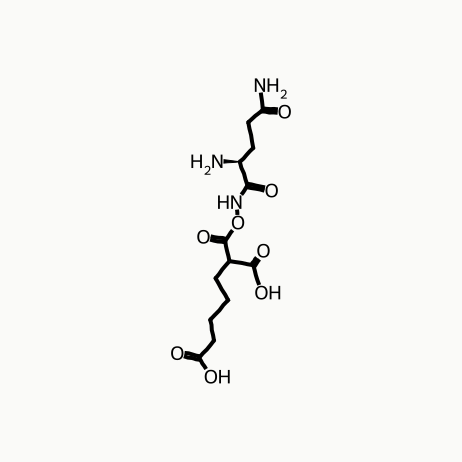 NC(=O)CC[C@H](N)C(=O)NOC(=O)C(CCCCC(=O)O)C(=O)O